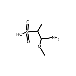 COC(N)C(C)S(=O)(=O)O